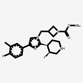 Cc1cc(-c2cn(CC3CN(C(=O)OC(C)(C)C)C3)c([C@H]3CCNC[C@H]3F)n2)ccc1F